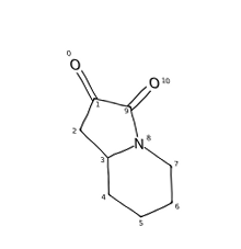 O=C1CC2CCCCN2C1=O